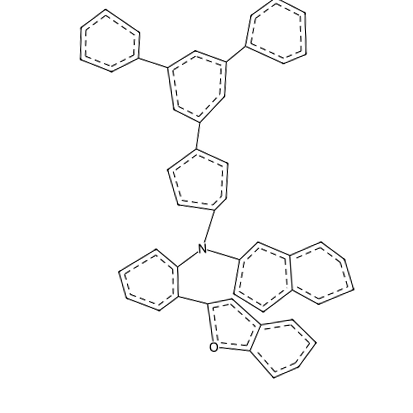 c1ccc(-c2cc(-c3ccccc3)cc(-c3ccc(N(c4ccc5ccccc5c4)c4ccccc4-c4cc5ccccc5o4)cc3)c2)cc1